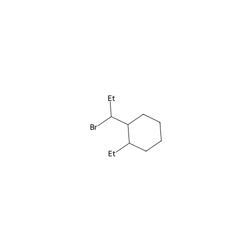 CCC(Br)C1CCCCC1CC